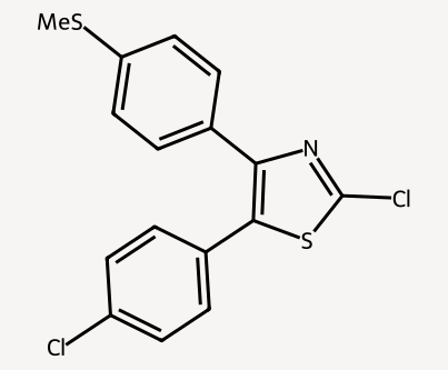 CSc1ccc(-c2nc(Cl)sc2-c2ccc(Cl)cc2)cc1